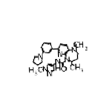 C[C@@H]1CCN(C)c2ccc(-c3cccc(N4CCCC4)c3)nc2N1C(=O)Nc1cnn(C)c1